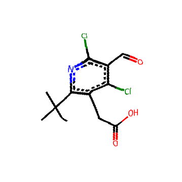 CC(C)(C)c1nc(Cl)c(C=O)c(Cl)c1CC(=O)O